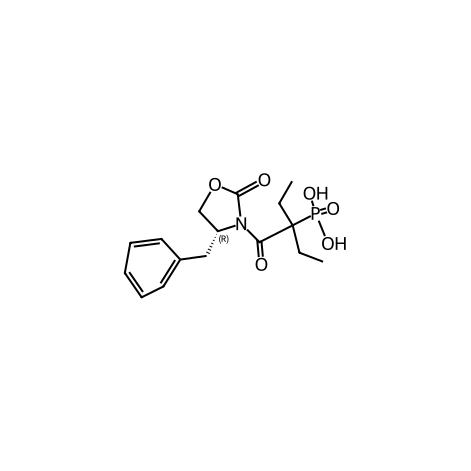 CCC(CC)(C(=O)N1C(=O)OC[C@H]1Cc1ccccc1)P(=O)(O)O